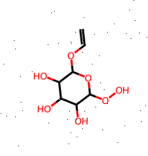 C=COC1OC(OO)C(O)C(O)C1O